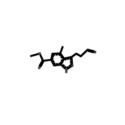 COC(=O)c1cc(C)c2c(CCC=O)n[nH]c2c1